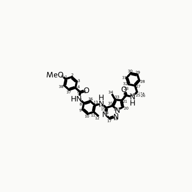 COc1ccc(C(=O)Nc2ccc(C)c(Nc3ncnn4cc(C(=O)N[C@@H](C)c5ccccc5)c(C)c34)c2)cc1